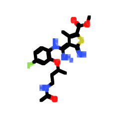 COC(=O)C1=C(C)/C(=C(/N)Nc2ccc(F)cc2OC(C)CCNC(C)=O)C(=N)S1